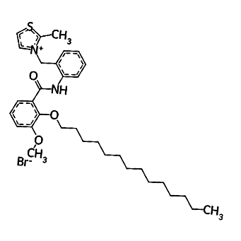 CCCCCCCCCCCCCCOc1c(OC)cccc1C(=O)Nc1ccccc1C[n+]1ccsc1C.[Br-]